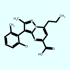 CCCc1cc(C(=O)O)nc2c(-c3c(C)cccc3Cl)c(C)nn12